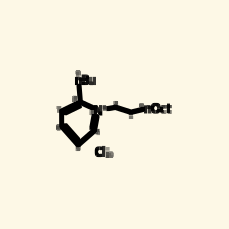 CCCCCCCCCC[n+]1ccccc1CCCC.[Cl-]